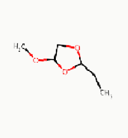 CCC1OCC(OC)O1